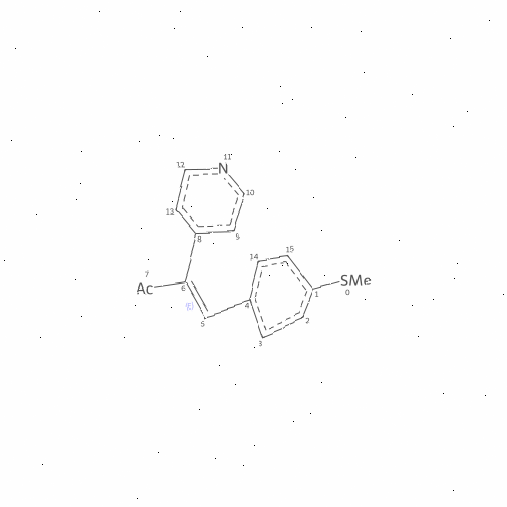 CSc1ccc(/C=C(/C(C)=O)c2ccncc2)cc1